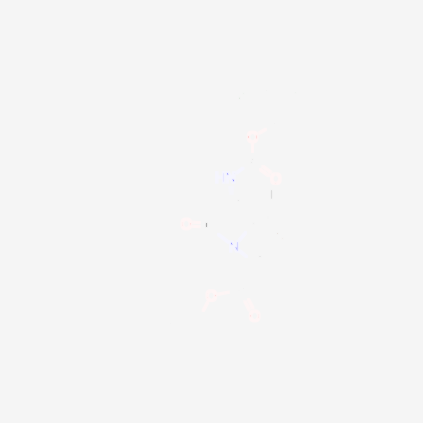 CC1(C)S[C@@H]2[C@@H](NC(=O)OCC(Cl)(Cl)Cl)C(=O)N2[C@H]1C(=O)OCc1ccccc1